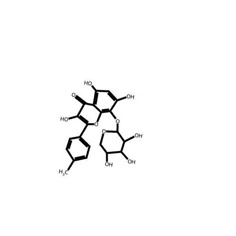 Cc1ccc(-c2oc3c(OC4OCC(O)C(O)C4O)c(O)cc(O)c3c(=O)c2O)cc1